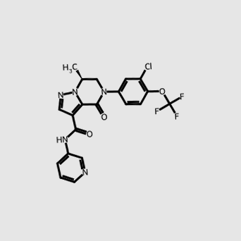 C[C@H]1CN(c2ccc(OC(F)(F)F)c(Cl)c2)C(=O)c2c(C(=O)Nc3cccnc3)cnn21